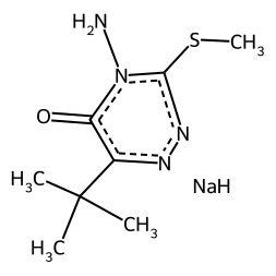 CSc1nnc(C(C)(C)C)c(=O)n1N.[NaH]